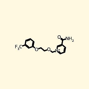 NC(=O)c1ccc[n+](COCCOc2cccc(C(F)(F)F)c2)c1